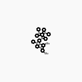 CC(C)(C)c1ccc2c(c1)c1cc(C(C)(C)C)cc3c1n2-c1cccc2c1B3c1cc(-n3c4ccccc4c4c5c(c6ccccc6n5-c5ccccc5)c5c(c6ccccc6n5-c5ccccc5)c43)ccc1N2c1ccccc1